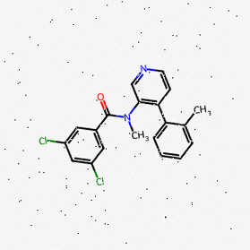 Cc1ccccc1-c1ccncc1N(C)C(=O)c1cc(Cl)cc(Cl)c1